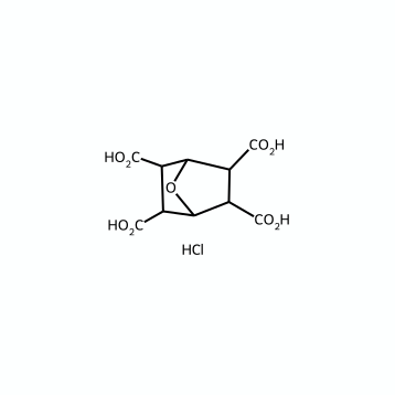 Cl.O=C(O)C1C2OC(C1C(=O)O)C(C(=O)O)C2C(=O)O